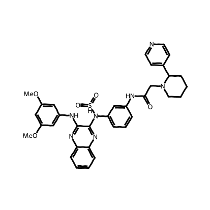 COc1cc(Nc2nc3ccccc3nc2N(c2cccc(NC(=O)CN3CCCCC3c3ccncc3)c2)[SH](=O)=O)cc(OC)c1